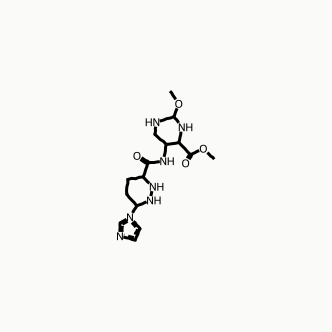 COC(=O)C1NC(OC)NCC1NC(=O)C1CCC(n2ccnc2)NN1